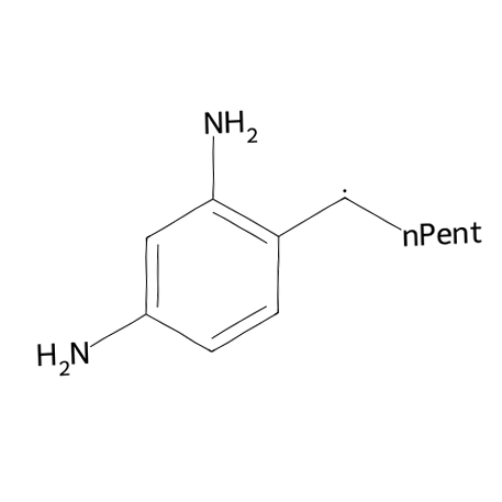 CCCCC[CH]c1ccc(N)cc1N